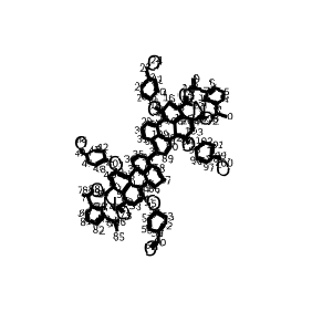 CC(C)c1cccc(C(C)C)c1N1C(=O)c2cc(Oc3ccc(C=O)cc3)c3c4cccc5c(-c6ccc7c8c(Oc9ccc(C=O)cc9)cc9c%10c(cc(Oc%11ccc(C=O)cc%11)c(c%11cccc6c%117)c%108)C(=O)N(c6c(C(C)C)cccc6C(C)C)C9=O)ccc(c6c(Oc7ccc(C=O)cc7)cc(c2c36)C1=O)c54